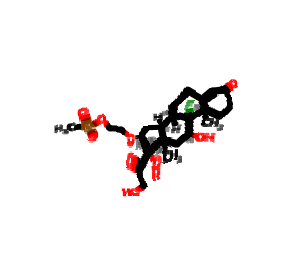 C[C@]12CCC(=O)C=C1CC[C@H]1[C@@H]3C[C@@H](OCCOS(C)(=O)=O)[C@](O)(C(=O)CO)[C@@]3(C)C[C@H](O)C12F